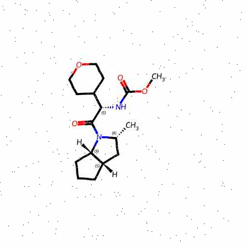 COC(=O)N[C@H](C(=O)N1[C@H](C)C[C@@H]2CCC[C@@H]21)C1CCOCC1